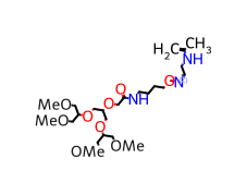 C=C(C)NC/C=N\OCCCCNC(=O)COC(COC(COC)COC)COC(COC)COC